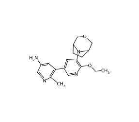 CCOc1ncc(-c2cc(N)cnc2C)cc1N1C2CCC1COC2